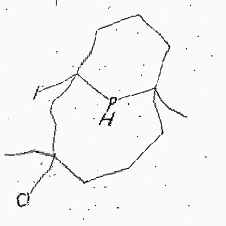 CC1(Cl)CCCC2(C)CCCC(I)(C1)P2